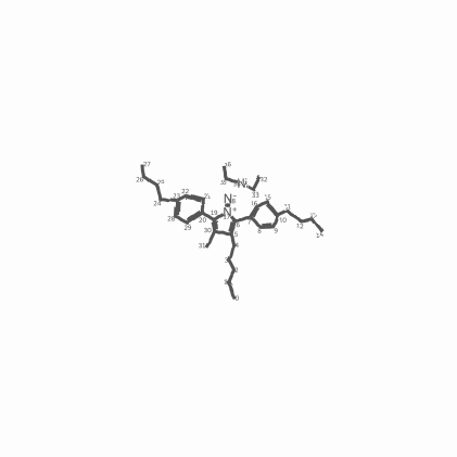 CCCCCC1=C(c2ccc(CCCC)cc2)[N+](=[N-])C(c2ccc(CCCC)cc2)=C1C.C[CH2][Ni][CH2]C